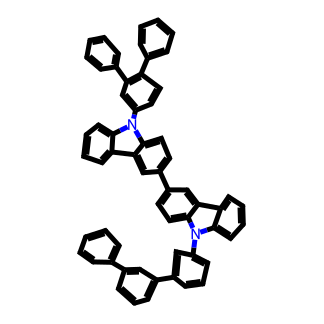 c1ccc(-c2cccc(-c3cccc(-n4c5ccccc5c5cc(-c6ccc7c(c6)c6ccccc6n7-c6ccc(-c7ccccc7)c(-c7ccccc7)c6)ccc54)c3)c2)cc1